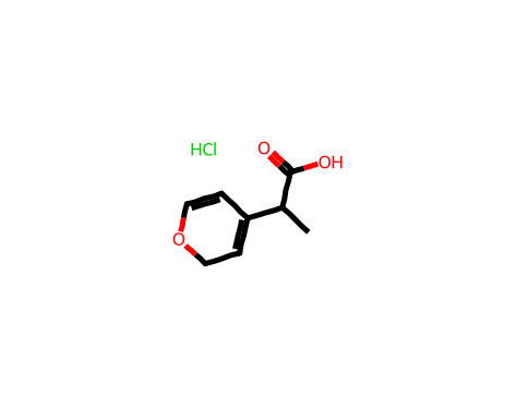 CC(C(=O)O)C1=CCOC=C1.Cl